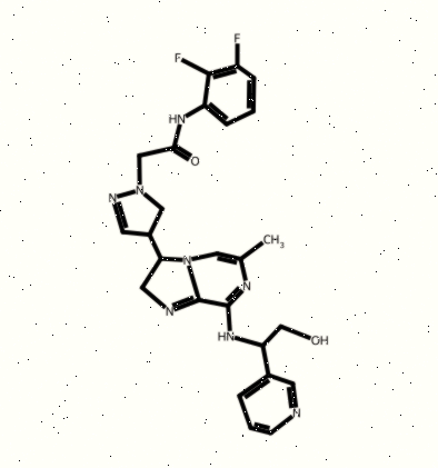 CC1=CN2C(=NCC2C2C=NN(CC(=O)Nc3cccc(F)c3F)C2)C(NC(CO)c2cccnc2)=N1